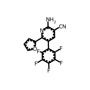 N#Cc1cc(-c2c(F)c(F)c(F)c(F)c2F)c(-c2ccco2)nc1N